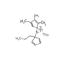 CCC[C]1([Ti+2][C]2(C)C=C(C)C(C)=C2C)C=CC=C1.[Cl-].[Cl-]